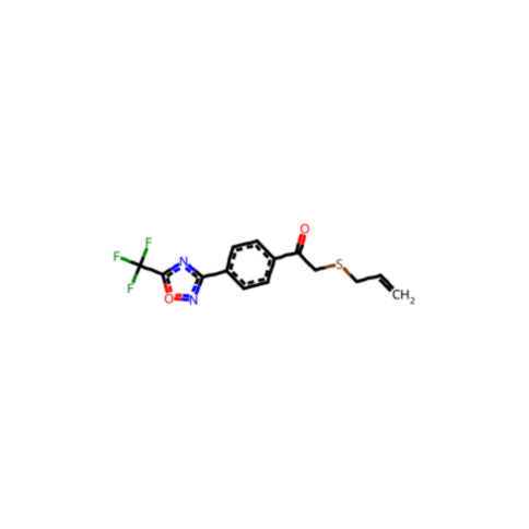 C=CCSCC(=O)c1ccc(-c2noc(C(F)(F)F)n2)cc1